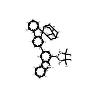 CC1(C)OB(c2cc(-c3ccc4c(c3)C3(c5ccccc5-4)C4CC5CC(C4)CC3C5)cc3c2oc2ccccc23)OC1(C)C